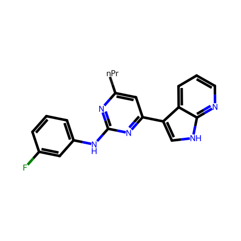 CCCc1cc(-c2c[nH]c3ncccc23)nc(Nc2cccc(F)c2)n1